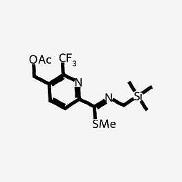 CSC(=NC[Si](C)(C)C)c1ccc(COC(C)=O)c(C(F)(F)F)n1